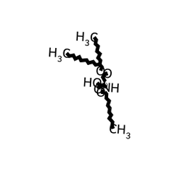 CCCCCCCCCCCC(=O)N[C@H](CCC(=O)OCC(CCCCCCCC)CCCCCCCCCC)C(=O)O